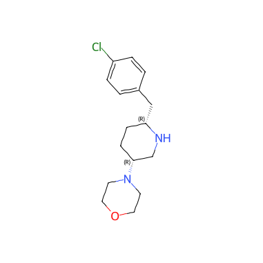 Clc1ccc(C[C@H]2CC[C@@H](N3CCOCC3)CN2)cc1